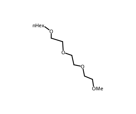 CCCCCCOCCOCCOCCOC